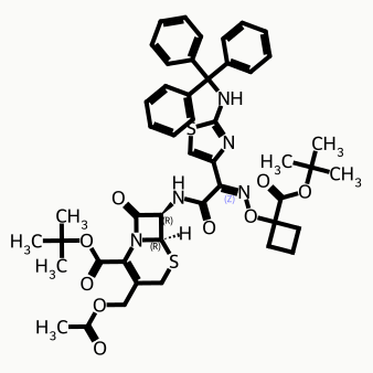 CC(=O)OCC1=C(C(=O)OC(C)(C)C)N2C(=O)[C@@H](NC(=O)/C(=N\OC3(C(=O)OC(C)(C)C)CCC3)c3csc(NC(c4ccccc4)(c4ccccc4)c4ccccc4)n3)[C@H]2SC1